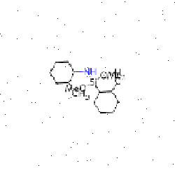 CO[Si](NC1CCCCC1C)(OC)C1CCCCC1C